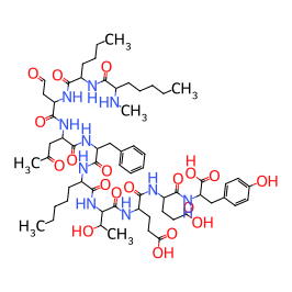 CCCCCC(NC)C(=O)NC(CCCC)C(=O)NC(CC=O)C(=O)NC(CC(C)=O)C(=O)NC(Cc1ccccc1)C(=O)NC(CCCCC)C(=O)NC(C(=O)NC(CCC(=O)O)C(=O)NC(CCC(=O)O)C(=O)NC(Cc1ccc(O)cc1)C(=O)O)C(C)O